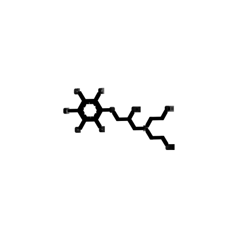 OCCN(CCO)CC(O)COc1c(Cl)c(Cl)c(Cl)c(Cl)c1Cl